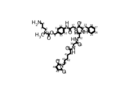 CN(CCCN)C(=O)OCc1ccc(NC(=O)CNC(=O)[C@H](Cc2ccccc2)NC(=O)CNC(=O)CNC(=O)CCCCCN2C(=O)C=CC2=O)cc1